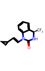 O=C1N[C@H](C(F)(F)F)c2ccccc2N1C=CC1CC1